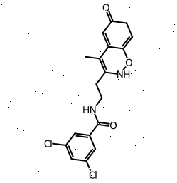 CC1=C(CCNC(=O)c2cc(Cl)cc(Cl)c2)NOC2=CCC(=O)C=C21